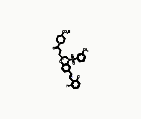 Cc1cccc(S(=O)(=O)N2C[C@H](CCC(=O)N3CCC(C(=O)O)CC3)Oc3ccc(/C=C/c4c(F)cccc4Cl)cc32)c1